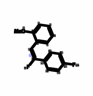 COc1ccccc1/C=C(/F)c1ccc(F)cc1